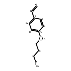 C=Cc1ccc(OCCCF)cc1